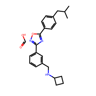 CC(C)Cc1ccc(-c2nc(-c3cccc(CNC4CCC4)c3)no2)cc1.O=CO